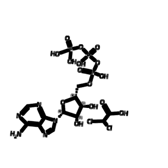 Nc1ncnc2c1ncn2[C@@H]1O[C@H](COP(=O)(O)OP(=O)(O)OP(=O)(O)O)[C@@H](O)[C@H]1O.O=C(O)C(Cl)Cl